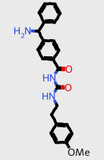 COc1ccc(CCNC(=O)NC(=O)c2ccc(C(N)c3ccccc3)cc2)cc1